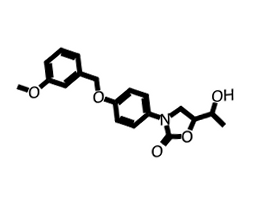 COc1cccc(COc2ccc(N3CC(C(C)O)OC3=O)cc2)c1